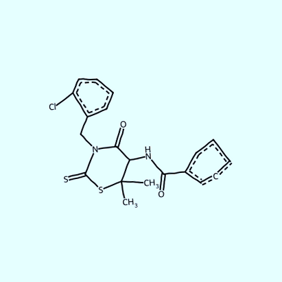 CC1(C)SC(=S)N(Cc2ccccc2Cl)C(=O)C1NC(=O)c1ccccc1